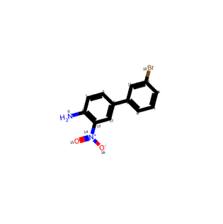 Nc1ccc(-c2cccc(Br)c2)cc1[N+](=O)[O-]